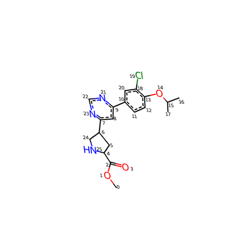 COC(=O)C1CC(c2cc(-c3ccc(OC(C)C)c(Cl)c3)ncn2)CN1